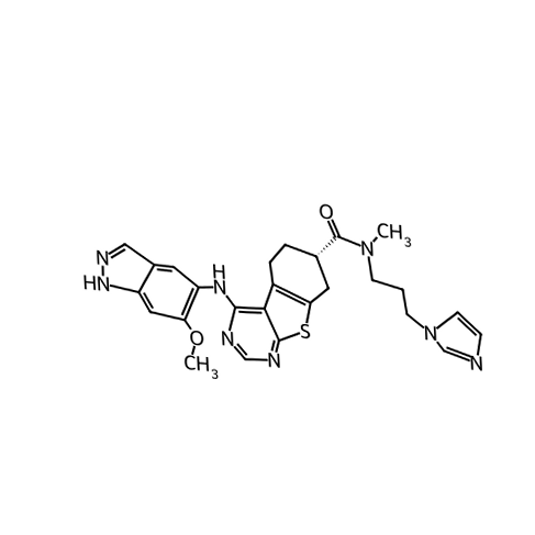 COc1cc2[nH]ncc2cc1Nc1ncnc2sc3c(c12)CC[C@H](C(=O)N(C)CCCn1ccnc1)C3